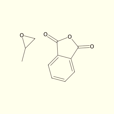 CC1CO1.O=C1OC(=O)c2ccccc21